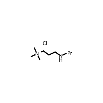 CC(C)NCCC[N+](C)(C)C.[Cl-]